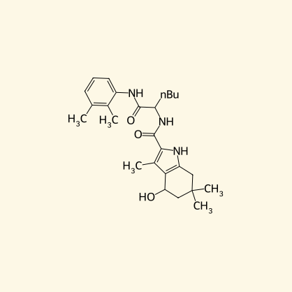 CCCCC(NC(=O)c1[nH]c2c(c1C)C(O)CC(C)(C)C2)C(=O)Nc1cccc(C)c1C